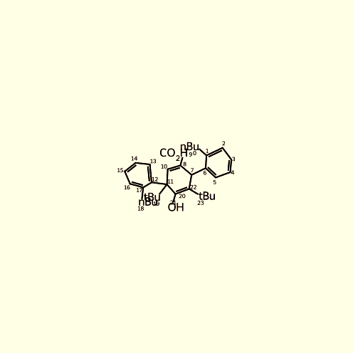 CCCCc1ccccc1C1C(C(=O)O)=CC(c2ccccc2CCCC)(C(C)(C)C)C(O)=C1C(C)(C)C